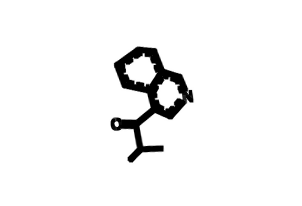 CC(C)C(=O)c1cncc2ccccc12